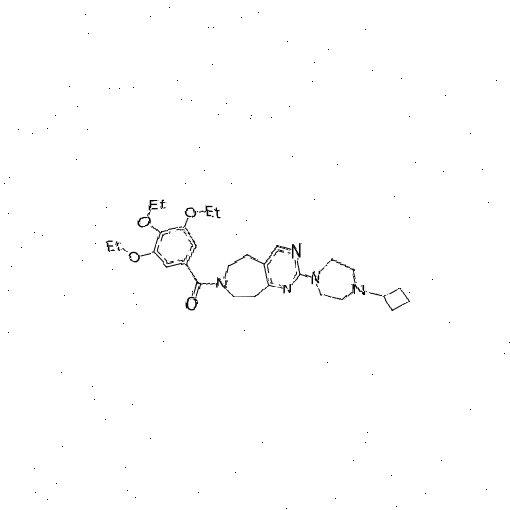 CCOc1cc(C(=O)N2CCc3cnc(N4CCN(C5CCC5)CC4)nc3CC2)cc(OCC)c1OCC